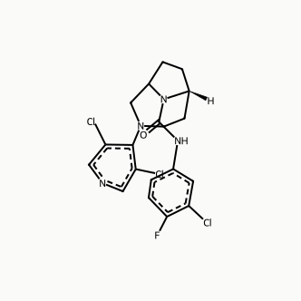 O=C(Nc1ccc(F)c(Cl)c1)N1C2CC[C@@H]1CCN(c1c(Cl)cncc1Cl)C2